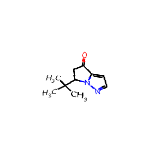 CC(C)(C)C1CC(=O)c2ccnn21